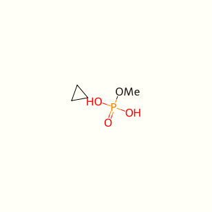 C1CC1.COP(=O)(O)O